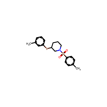 Cc1ccc(S(=O)(=O)N2CCCC(Sc3cccc(C)c3)C2)cc1